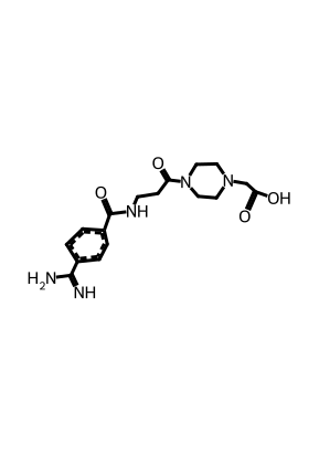 N=C(N)c1ccc(C(=O)NCCC(=O)N2CCN(CC(=O)O)CC2)cc1